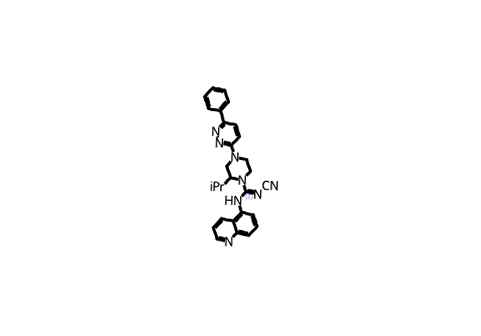 CC(C)C1CN(c2ccc(-c3ccccc3)nn2)CCN1/C(=N\C#N)Nc1cccc2ncccc12